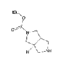 CC(C)(C)OC(=O)N1CC2CNC[C@H]2C1